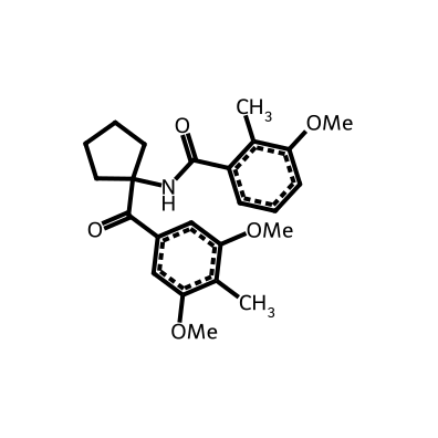 COc1cc(C(=O)C2(NC(=O)c3cccc(OC)c3C)CCCC2)cc(OC)c1C